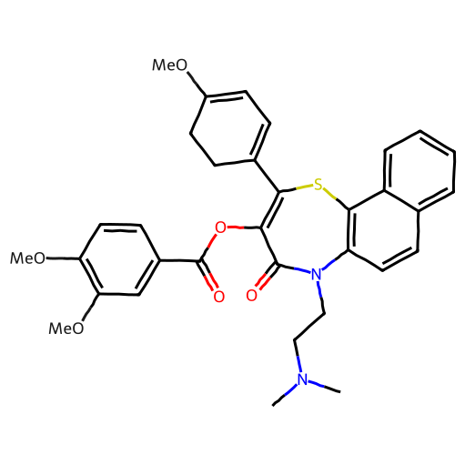 COC1=CC=C(C2=C(OC(=O)c3ccc(OC)c(OC)c3)C(=O)N(CCN(C)C)c3ccc4ccccc4c3S2)CC1